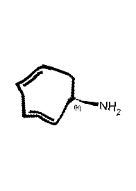 N[C@H]1C=CC=CC1